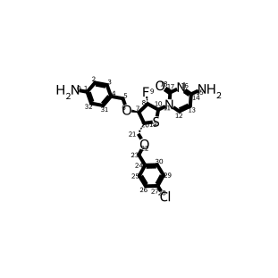 Nc1ccc(CO[C@H]2[C@H](F)C(n3ccc(N)nc3=O)S[C@@H]2COCc2ccc(Cl)cc2)cc1